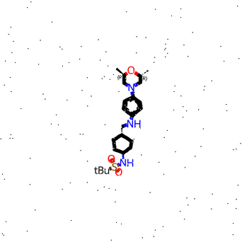 C[C@@H]1CN(c2ccc(NC[C@H]3CC[C@H](NS(=O)(=O)C(C)(C)C)CC3)cc2)C[C@@H](C)O1